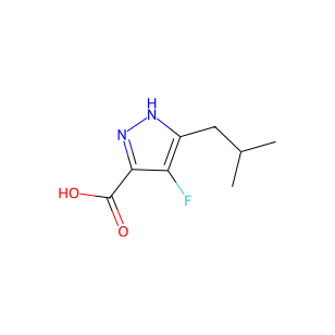 CC(C)Cc1[nH]nc(C(=O)O)c1F